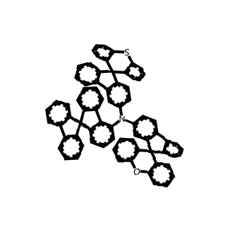 c1ccc2c(c1)Oc1ccccc1C21c2ccccc2-c2ccc(N(c3ccc4c(c3)-c3ccccc3C43c4ccccc4Sc4ccccc43)c3cccc4c3-c3ccccc3C43c4ccccc4-c4ccccc43)cc21